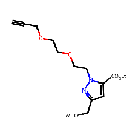 C#CCOCCOCCn1nc(COC)cc1C(=O)OCC